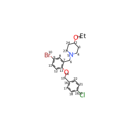 CCOC1CCN(Cc2cc(Br)ccc2OCc2ccc(Cl)cc2)CC1